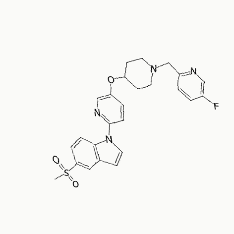 CS(=O)(=O)c1ccc2c(ccn2-c2ccc(OC3CCN(Cc4ccc(F)cn4)CC3)cn2)c1